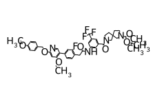 CCOc1cc(OCc2ccc(OC)cc2)ncc1-c1ccc(CC(=O)Nc2cc(C(=O)N3CCC4(CCN(C(=O)OC(C)(C)C)C4)C3)cc(C(F)(F)F)c2)c(F)c1